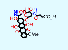 COc1cccc2c1C(=O)c1c(O)c3c(c(O)c1C2=O)C[C@@](O)(/C(CO)=N/N)C[C@@H]3O[C@H]1C[C@H](NC(=O)CCC(=O)O)[C@H](O)[C@H](C)O1